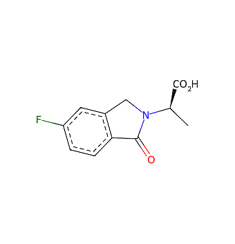 C[C@H](C(=O)O)N1Cc2cc(F)ccc2C1=O